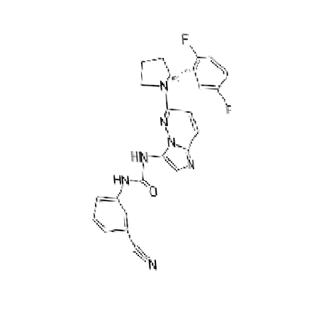 N#Cc1cccc(NC(=O)Nc2cnc3ccc(N4CCC[C@@H]4c4cc(F)ccc4F)nn23)c1